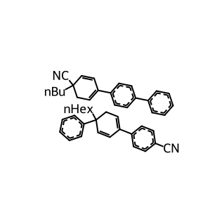 CCCCC1(C#N)C=CC(c2ccc(-c3ccccc3)cc2)=CC1.CCCCCCC1(c2ccccc2)C=CC(c2ccc(C#N)cc2)=CC1